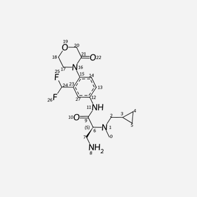 CN(CC1CC1)[C@@H](CN)C(=O)Nc1ccc(N2CCOCC2=O)c(C(F)F)c1